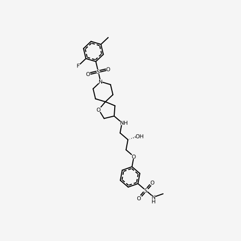 CNS(=O)(=O)c1cccc(OC[C@@H](O)CNC2COC3(CCN(S(=O)(=O)c4cc(C)ccc4F)CC3)C2)c1